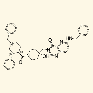 O=C([C@@H]1CCN(Cc2ccccc2)C[C@H]1c1ccccc1)N1CCC(O)(Cn2cnc3ccc(NCc4ccccc4)nc3c2=O)CC1